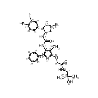 CCN1C[C@@H](NC(=O)Nc2c(C)c(OCC(=O)NCC(C)(C)O)nn2-c2ccccc2)[C@H](c2ccc(F)c(F)c2)O1